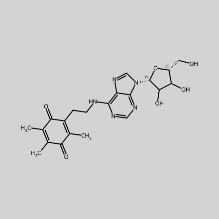 CC1=C(C)C(=O)C(CCNc2ncnc3c2ncn3[C@@H]2O[C@H](CO)C(O)C2O)=C(C)C1=O